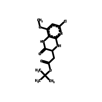 COc1cc(Cl)nc2c1NC(=O)C(CC(=O)OC(C)(C)C)N2